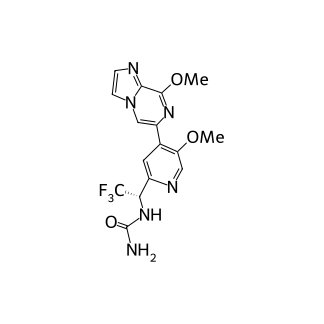 COc1cnc([C@H](NC(N)=O)C(F)(F)F)cc1-c1cn2ccnc2c(OC)n1